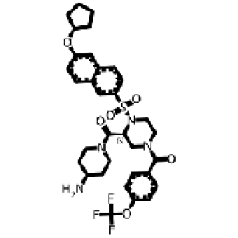 NC1CCN(C(=O)[C@@H]2CN(C(=O)c3ccc(OC(F)(F)F)cc3)CCN2S(=O)(=O)c2ccc3cc(OC4CCCC4)ccc3c2)CC1